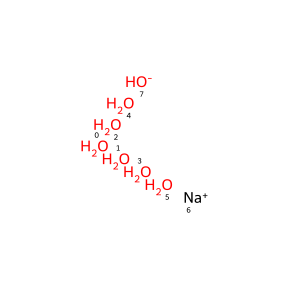 O.O.O.O.O.O.[Na+].[OH-]